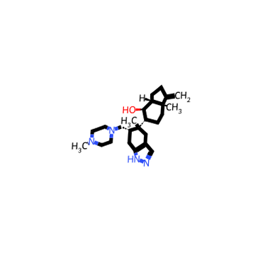 C=C1CC[C@H]2[C@H](O)[C@@H](C3(C)Cc4cn[nH]c4C[C@@H]3CN3CCN(C)CC3)CC[C@]12C